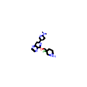 CN(C)c1ccc(-c2cc3nccnc3c(OCC3(F)CCCNC3)n2)cn1